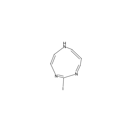 Ic1nccc[nH]ccn1